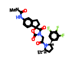 CC[C@H]1CC[C@@H](c2cc(F)c(F)c(F)c2)N1C(=O)CN1C(=O)OC2(CCc3cc(NC(=O)NC)ccc32)C1=O